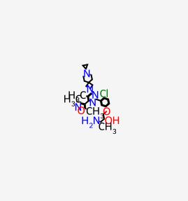 Cc1noc(C)c1-c1nc(-c2cc(OCC(O)C(C)N)ccc2Cl)nc(N2CC3(CCN(C4CC4)CC3)C2)c1C